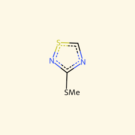 CSc1ncsn1